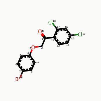 O=C(COc1ccc(Br)cc1)c1ccc(Cl)cc1Cl